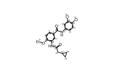 CCOc1ccc(C(=O)Nc2ccc(Cl)c(Cl)c2)cc1NC(=O)CC1CC1